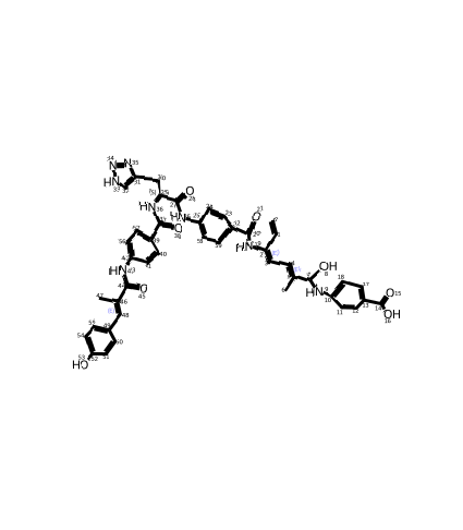 C=C/C(=C\C=C(/C)C(O)Nc1ccc(C(=O)O)cc1)NC(=O)c1ccc(NC(=O)[C@H](Cc2c[nH]nn2)NC(=O)c2ccc(NC(=O)/C(C)=C/c3ccc(O)cc3)cc2)cc1